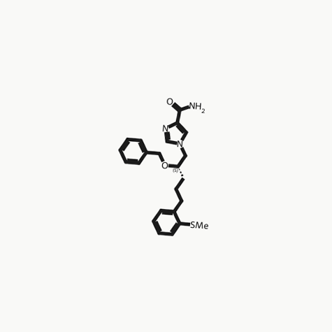 CSc1ccccc1CCC[C@@H](Cn1cnc(C(N)=O)c1)OCc1ccccc1